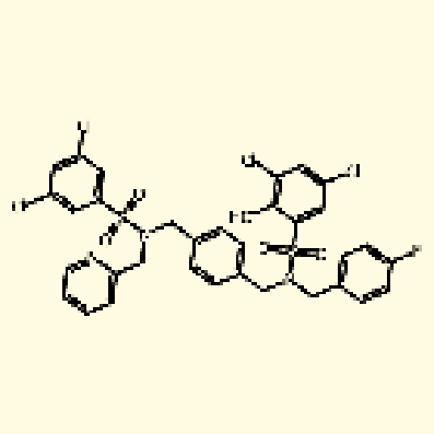 O=S(=O)(c1cc(Cl)cc(Cl)c1)N(Cc1ccc(CN(Cc2ccc(F)cc2)S(=O)(=O)c2cc(Cl)cc(Cl)c2O)cc1)Cc1ccccn1